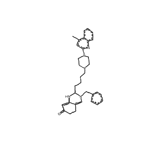 Cc1cc(N2CCN(CCCCC3NC4=CC(=O)CCC4=CN3Cc3ccccc3)CC2)nc2ccccc12